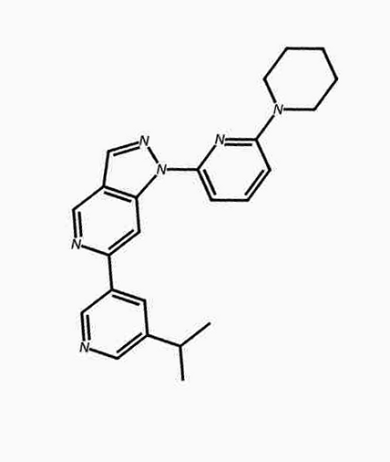 CC(C)c1cncc(-c2cc3c(cn2)cnn3-c2cccc(N3CCCCC3)n2)c1